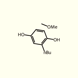 CCCCc1cc(O)ccc1O.COC